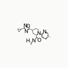 NC(=O)C1CC(c2nc(C3CC3)no2)CCN1c1cc[c]cn1